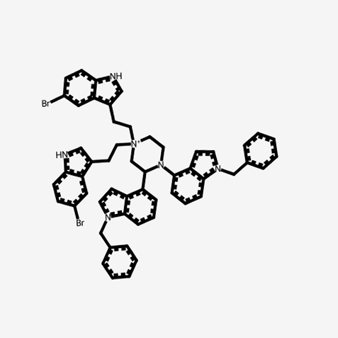 Brc1ccc2[nH]cc(CC[N+]3(CCc4c[nH]c5ccc(Br)cc45)CCN(c4cccc5c4ccn5Cc4ccccc4)C(c4cccc5c4ccn5Cc4ccccc4)C3)c2c1